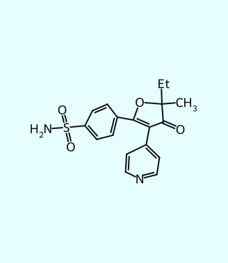 CCC1(C)OC(c2ccc(S(N)(=O)=O)cc2)=C(c2ccncc2)C1=O